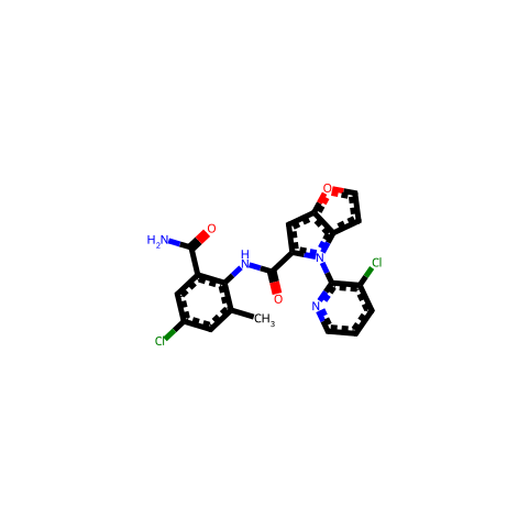 Cc1cc(Cl)cc(C(N)=O)c1NC(=O)c1cc2occc2n1-c1ncccc1Cl